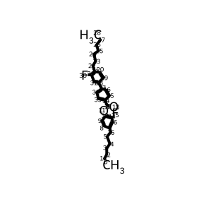 CCCCCCCc1ccc(OC(=O)c2ccc(-c3ccc(CCCCCCC)c(F)c3)cc2)c(F)c1